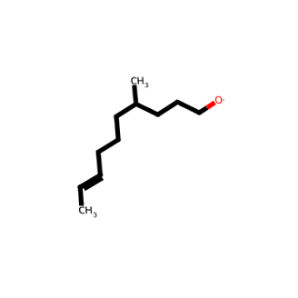 C/C=C/CCCC(C)CCC[O]